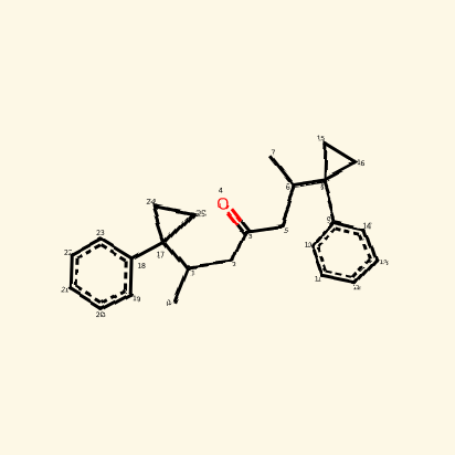 CC(CC(=O)CC(C)C1(c2ccccc2)CC1)C1(c2ccccc2)CC1